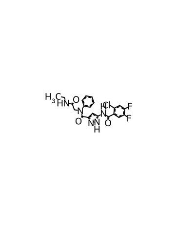 CCNC(=O)CN(C(=O)c1cc(NC(=O)c2cc(F)c(F)cc2Cl)[nH]n1)c1ccccc1